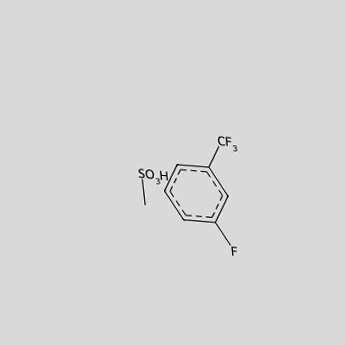 CS(=O)(=O)O.Fc1cccc(C(F)(F)F)c1